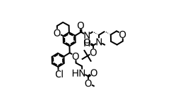 COC(=O)NCCOC(c1cccc(Cl)c1)c1cc2c(c(C(=O)NC[C@H](C[C@H]3CCCOC3)N(C)C(=O)OC(C)(C)C)c1)CCCO2